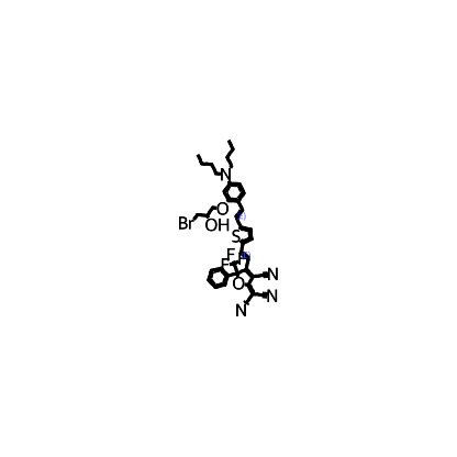 CCCCN(CCCC)c1ccc(/C=C/c2ccc(/C=C/C3=C(C#N)C(=C(C#N)C#N)OC3(c3ccccc3)C(F)(F)F)s2)c(OCC(O)CBr)c1